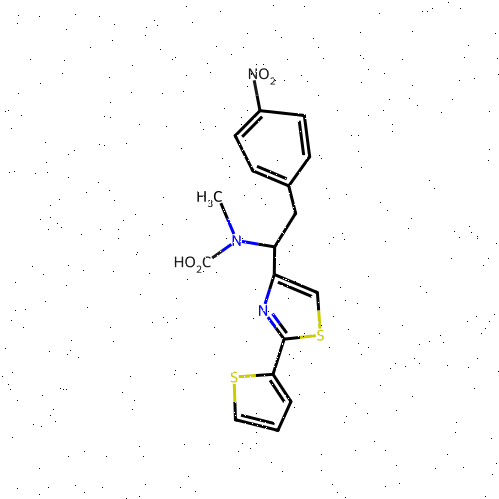 CN(C(=O)O)C(Cc1ccc([N+](=O)[O-])cc1)c1csc(-c2cccs2)n1